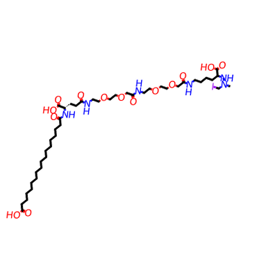 CN(CI)NC(CCCCNC(=O)COCCOCCNC(=O)COCCOCCNC(=O)CC[C@H](NC(=O)CCCCCCCCCCCCCCCCC(=O)O)C(=O)O)C(=O)O